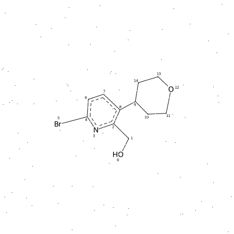 OCc1nc(Br)ccc1C1CCOCC1